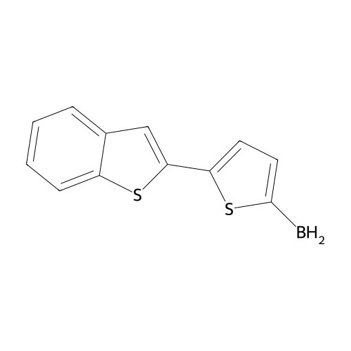 Bc1ccc(-c2cc3ccccc3s2)s1